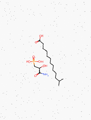 CC(C)CCCCCCCCCCC(=O)O.NC(=O)C(O)CP(=O)(O)O